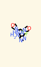 NC1(c2cncnc2C(F)F)N=C(N2CCOCC2)C=C(N2CCOCC2)N1